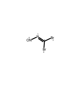 O=NN=C(Br)Br